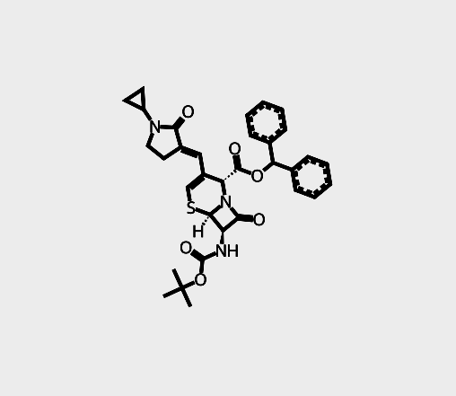 CC(C)(C)OC(=O)N[C@@H]1C(=O)N2[C@@H](C(=O)OC(c3ccccc3)c3ccccc3)C(C=C3CCN(C4CC4)C3=O)=CS[C@H]12